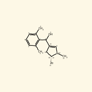 Cc1cccc(C)c1C(O)C1=CN(C)[C@H](C(C)C)C1